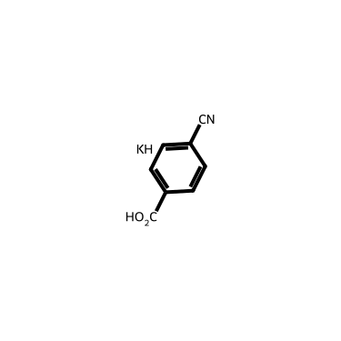 N#Cc1ccc(C(=O)O)cc1.[KH]